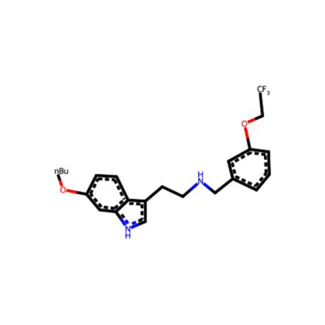 CCCCOc1ccc2c(CCNCc3cccc(OCC(F)(F)F)c3)c[nH]c2c1